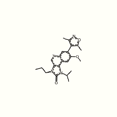 CCCn1c(=O)n(C(C)C)c2c3cc(OC)c(-c4c(C)noc4C)cc3ncc21